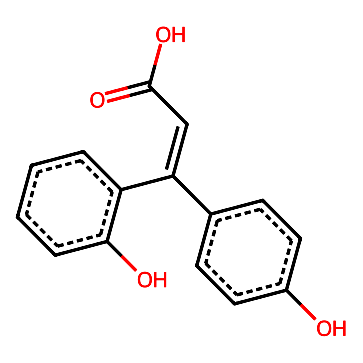 O=C(O)C=C(c1ccc(O)cc1)c1ccccc1O